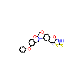 O=C1NC(=S)S/C1=C/c1ccc2c(c1)N(Cc1cccc(Oc3ccccc3)c1)C(=O)CO2